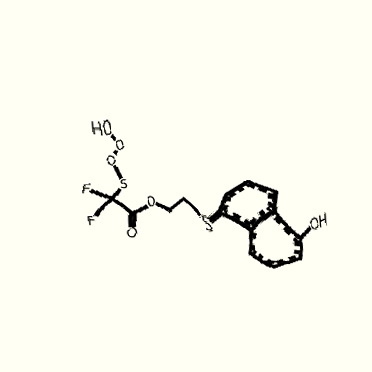 O=C(OCCSc1cccc2c(O)cccc12)C(F)(F)SOOO